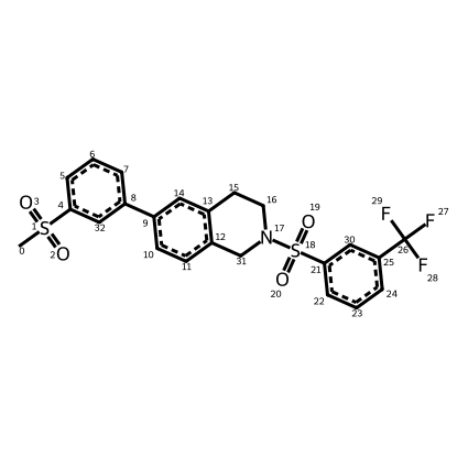 CS(=O)(=O)c1cccc(-c2ccc3c(c2)CCN(S(=O)(=O)c2cccc(C(F)(F)F)c2)C3)c1